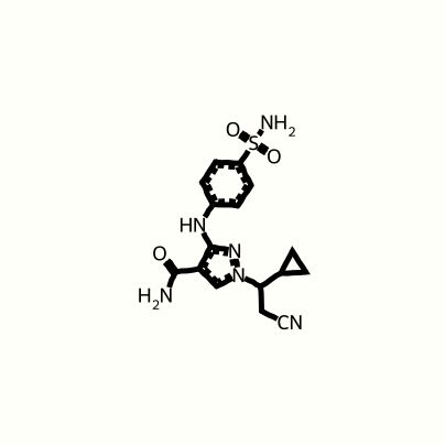 N#CCC(C1CC1)n1cc(C(N)=O)c(Nc2ccc(S(N)(=O)=O)cc2)n1